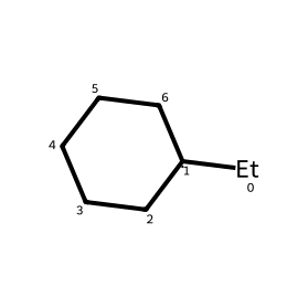 CC[C]1CCCCC1